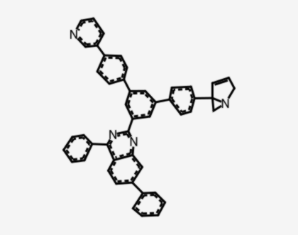 C1=CC2(c3ccc(-c4cc(-c5ccc(-c6cccnc6)cc5)cc(-c5nc(-c6ccccc6)c6ccc(-c7ccccc7)cc6n5)c4)cc3)CN2C1